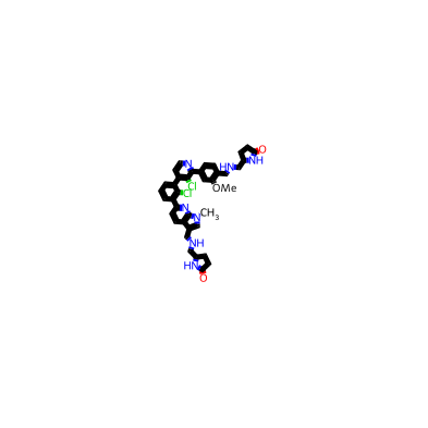 COc1cc(-c2nccc(-c3cccc(-c4ccc5c(CNCC6CCC(=O)N6)cn(C)c5n4)c3Cl)c2Cl)ccc1CNCC1CCC(=O)N1